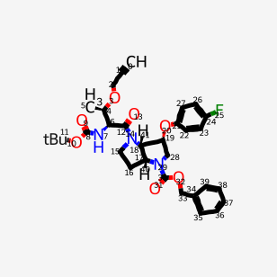 C#CCO[C@H](C)[C@H](NC(=O)OC(C)(C)C)C(=O)N1CC[C@@H]2[C@H]1[C@@H](Oc1ccc(F)cc1)CN2C(=O)OCc1ccccc1